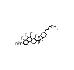 C=CCCC1CCC(OC(F)(F)C2=C(F)C3=C(CC2)c2ccc(CCC)c(F)c2C(F)C3F)CC1